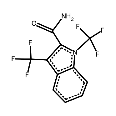 NC(=O)c1c(C(F)(F)F)c2ccccc2n1C(F)(F)F